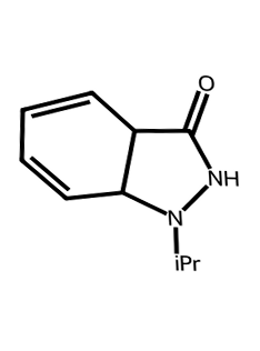 CC(C)N1NC(=O)C2C=CC=CC21